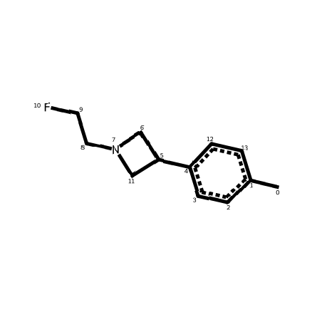 Cc1ccc(C2CN(CCF)C2)cc1